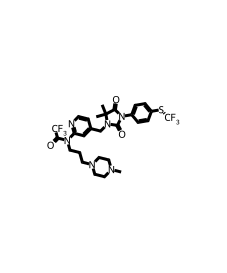 CN1CCN(CCCN(C(=O)C(F)(F)F)c2cc(CN3C(=O)N(c4ccc(SC(F)(F)F)cc4)C(=O)C3(C)C)ccn2)CC1